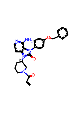 C=CC(=O)N1CCC[C@@H](n2c(=O)n(-c3ccc(OCc4ccccc4)cc3)c3c(N)nccc32)C1